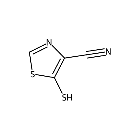 N#Cc1ncsc1S